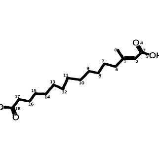 C/C(=C\C(=O)O)CCCCCCCCCCCCC(=O)O